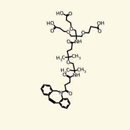 CC(C)(COC(C)(C)CCC(=O)NC(COCCC(=O)O)(COCCC(=O)O)COCCC(=O)O)NC(=O)CCC(=O)N1Cc2ccccc2C#Cc2ccccc21